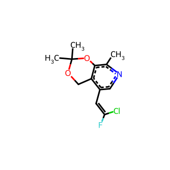 Cc1ncc(C=C(F)Cl)c2c1OC(C)(C)OC2